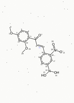 COc1ccc(C(=O)/C=C/c2ccc(N(O)O)cc2[N+](=O)[O-])c(OC)c1